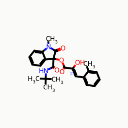 Cc1ccccc1/C=C(\O)C(=O)OC1(C(=O)NC(C)(C)C)C(=O)N(C)c2ccccc21